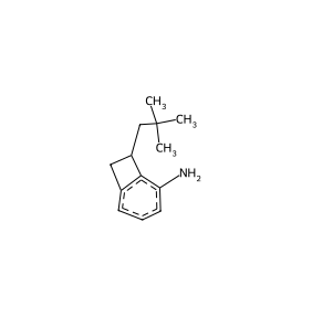 CC(C)(C)CC1Cc2cccc(N)c21